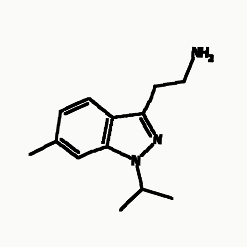 Cc1ccc2c(CCN)nn(C(C)C)c2c1